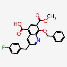 COC(=O)c1cc(C(=O)O)c2cc(Cc3ccc(F)cc3)cnc2c1OCc1ccccc1